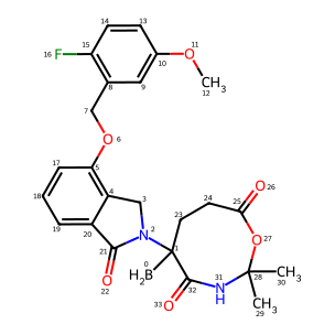 BC1(N2Cc3c(OCc4cc(OC)ccc4F)cccc3C2=O)CCC(=O)OC(C)(C)NC1=O